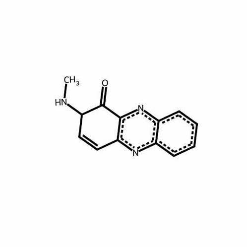 CNC1C=Cc2nc3ccccc3nc2C1=O